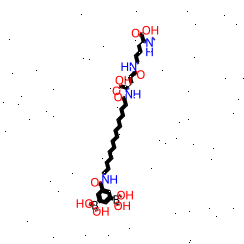 CN[C@@H](CCCCNC(=O)CC[C@H](NC(=O)CCCCCCCCCCCCCCNC(=O)c1cc(B(O)O)cc(B(O)O)c1)C(=O)O)C(=O)O